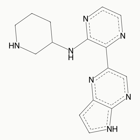 c1cnc(-c2cnc3[nH]ccc3n2)c(NC2CCCNC2)n1